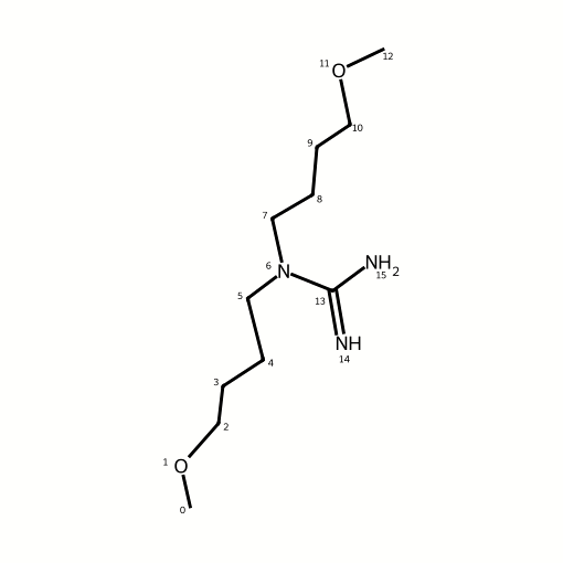 COCCCCN(CCCCOC)C(=N)N